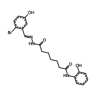 O=C(CCCCCC(=O)Nc1ccccc1O)N/N=C/c1cc(O)ccc1Br